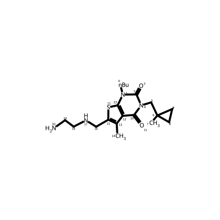 CCCCn1c(=O)n(CC2(C)CC2)c(=O)c2c(C)c(CNCCN)sc21